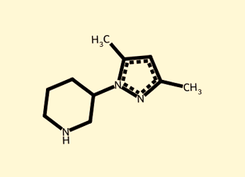 Cc1cc(C)n(C2CCCNC2)n1